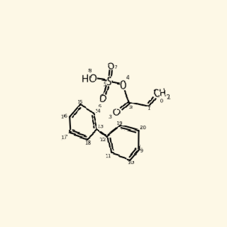 C=CC(=O)OS(=O)(=O)O.c1ccc(-c2ccccc2)cc1